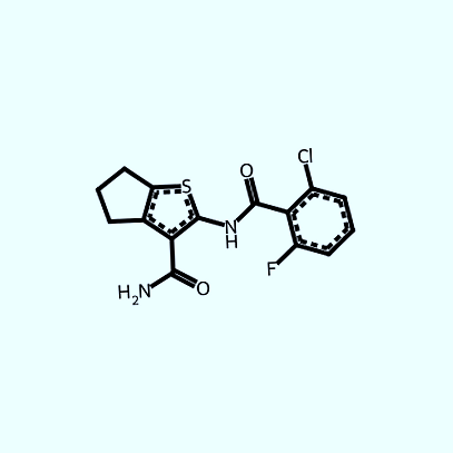 NC(=O)c1c(NC(=O)c2c(F)cccc2Cl)sc2c1CCC2